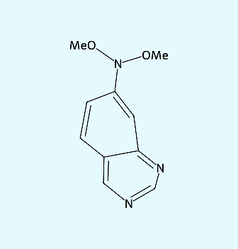 CON(OC)c1ccc2cncnc2c1